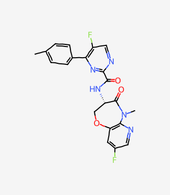 Cc1ccc(-c2nc(C(=O)N[C@H]3COc4cc(F)cnc4N(C)C3=O)ncc2F)cc1